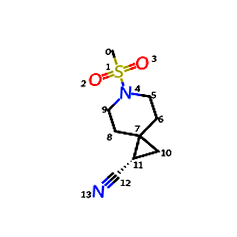 CS(=O)(=O)N1CCC2(CC1)C[C@@H]2C#N